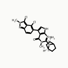 Cn1nc2ccc(-c3c[nH]c4nc(N5C6CC[C@H]5C[C@@H]6N)n(C)c(=O)c34)c(Cl)c2c1Cl